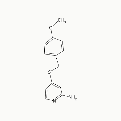 COc1ccc(CSc2ccnc(N)c2)cc1